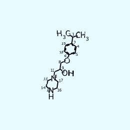 CC(C)c1ccc(OCC(O)CN2CCNCC2)cc1